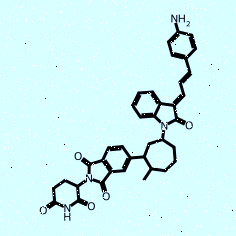 CC1CCCC(N2C(=O)/C(=C/C=C/c3ccc(N)cc3)c3ccccc32)CC1c1ccc2c(c1)C(=O)N(C1CCC(=O)NC1=O)C2=O